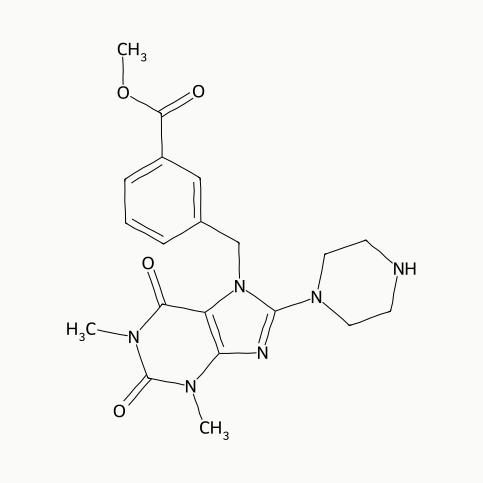 COC(=O)c1cccc(Cn2c(N3CCNCC3)nc3c2c(=O)n(C)c(=O)n3C)c1